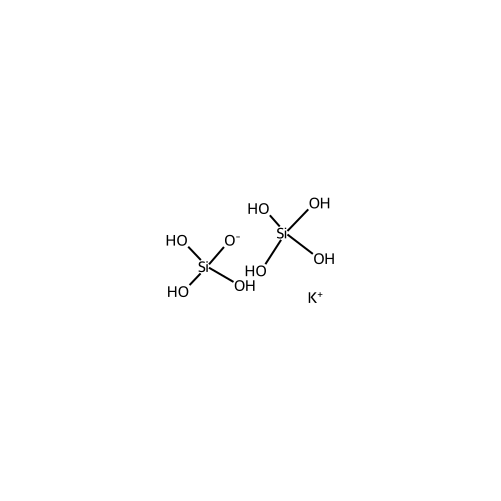 O[Si](O)(O)O.[K+].[O-][Si](O)(O)O